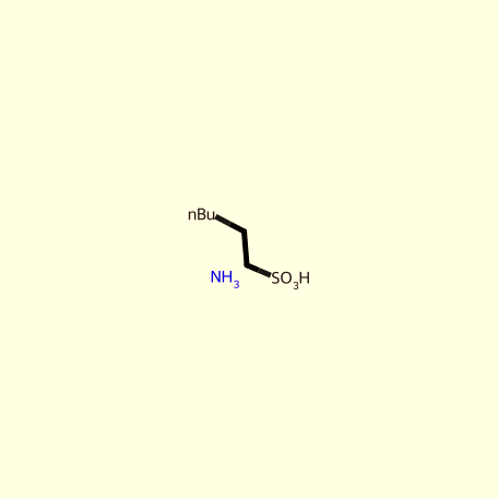 CCCCCCS(=O)(=O)O.N